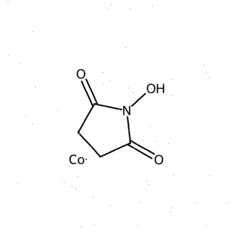 O=C1CCC(=O)N1O.[Co]